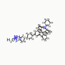 CN(N)Cc1ccc(-c2ccc(-c3ccc4c(c3)-c3ccccc3C43c4ccccc4N(c4ccccc4)c4ccccc43)cc2)cc1